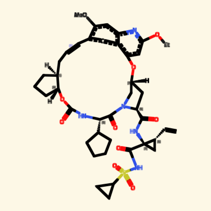 C=C[C@@H]1C[C@]1(NC(=O)[C@@H]1C[C@@H]2CN1C(=O)[C@H](C1CCCC1)NC(=O)O[C@@H]1CCC[C@H]1C/C=C/c1cc3c(cc(OCC)nc3cc1OC)O2)C(=O)NS(=O)(=O)C1CC1